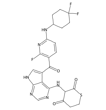 O=C(c1ccc(NC2CCC(F)(F)CC2)nc1F)c1c[nH]c2ncnc(NC3C(=O)CCSC3=O)c12